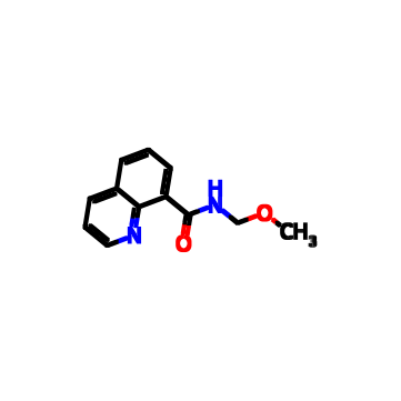 COCNC(=O)c1cccc2cccnc12